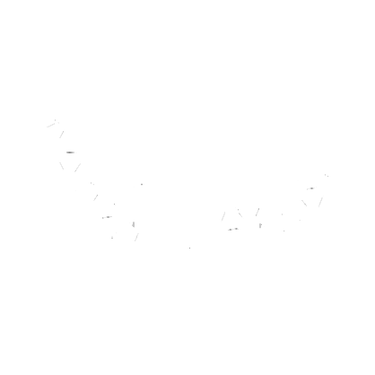 Cc1ncsc1-c1ccc([C@H](C)NC(=O)[C@@H]2C[C@@H](O)CN2C(=O)[C@@H](NC(=O)COCCN(C)CCCc2ccc(C(=O)N[C@H]3C(C)(C)[C@H](Oc4ccc(C#N)c(Cl)c4)C3(C)C)nc2)C(C)(C)C)cc1